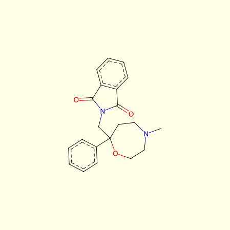 CN1CCOC(CN2C(=O)c3ccccc3C2=O)(c2ccccc2)CC1